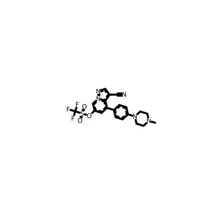 CN1CCN(c2ccc(-c3cc(OS(=O)(=O)C(F)(F)F)cn4ncc(C#N)c34)cc2)CC1